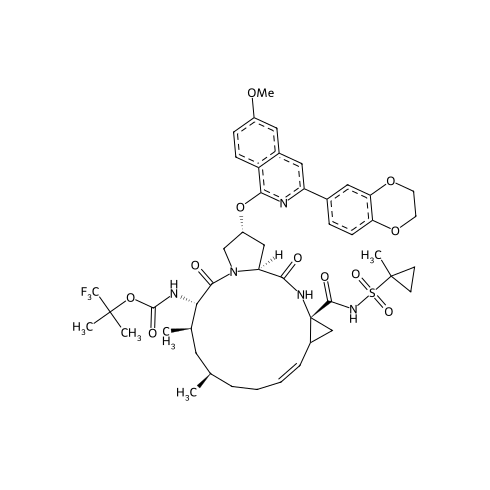 COc1ccc2c(O[C@@H]3C[C@H]4C(=O)N[C@]5(C(=O)NS(=O)(=O)C6(C)CC6)CC5/C=C\CC[C@@H](C)C[C@@H](C)[C@H](NC(=O)OC(C)(C)C(F)(F)F)C(=O)N4C3)nc(-c3ccc4c(c3)OCCO4)cc2c1